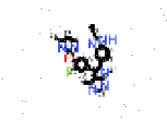 C#Cc1nc2cc(-c3c(-c4ccc(Oc5nccc(C)n5)c(F)c4)c4c(C)ncnc4n3C)ccc2[nH]1